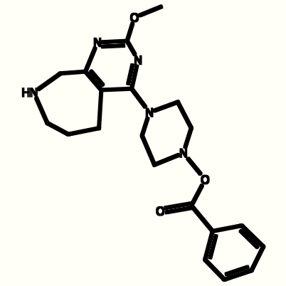 COc1nc2c(c(N3CCN(OC(=O)c4ccccc4)CC3)n1)CCCNC2